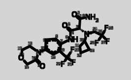 NC(=O)[C@@H](C(=O)Nc1ccc(N2CCOCC2=O)cc1C(F)(F)F)N(CC(F)(F)F)C1CCC1